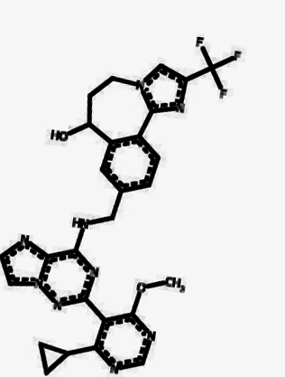 COc1ncnc(C2CC2)c1-c1nc(NCc2ccc3c(c2)C(O)CCn2cc(C(F)(F)F)nc2-3)c2nccn2n1